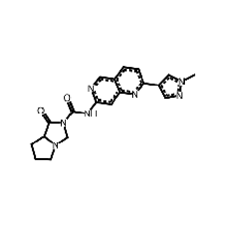 Cn1cc(-c2ccc3cnc(NC(=O)N4CN5CCCC5C4=O)cc3n2)cn1